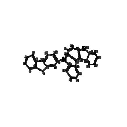 c1ccc2c(c1)Cc1cc(-n3c4ccccc4c4c5c(ccc43)sc3ccccc35)ccc1-2